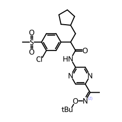 C/C(=N/OC(C)(C)C)c1cnc(NC(=O)C(CC2CCCC2)c2ccc(S(C)(=O)=O)c(Cl)c2)cn1